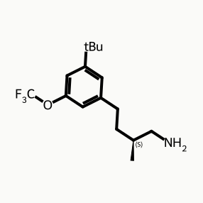 C[C@H](CN)CCc1cc(OC(F)(F)F)cc(C(C)(C)C)c1